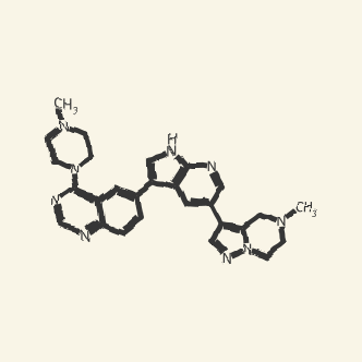 CN1CCN(c2ncnc3ccc(-c4c[nH]c5ncc(-c6cnn7c6CN(C)CC7)cc45)cc23)CC1